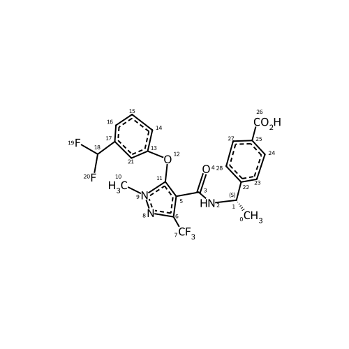 C[C@H](NC(=O)c1c(C(F)(F)F)nn(C)c1Oc1cccc(C(F)F)c1)c1ccc(C(=O)O)cc1